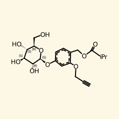 C#CCOc1cc(O[C@@H]2O[C@H](CO)[C@@H](O)[C@H](O)[C@H]2O)ccc1COC(=O)C(C)C